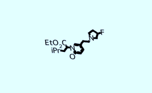 CCOC(=O)C(CC(C)C)n1cc(CCN2CCC(F)C2)ccc1=O